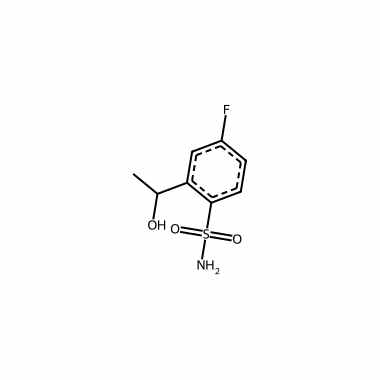 CC(O)c1cc(F)ccc1S(N)(=O)=O